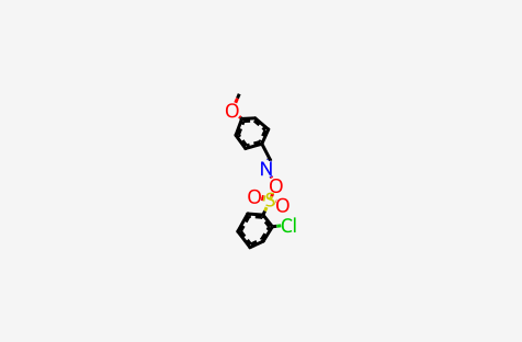 COc1ccc(C=NOS(=O)(=O)c2ccccc2Cl)cc1